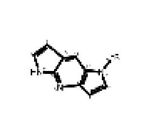 CC(C)(C)n1ccc2nc3[nH]ccc3cc21